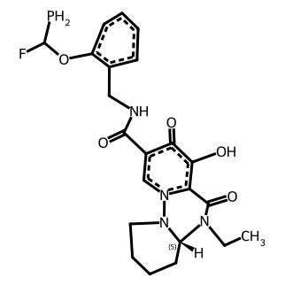 CCN1C(=O)c2c(O)c(=O)c(C(=O)NCc3ccccc3OC(F)P)cn2N2CCCC[C@@H]12